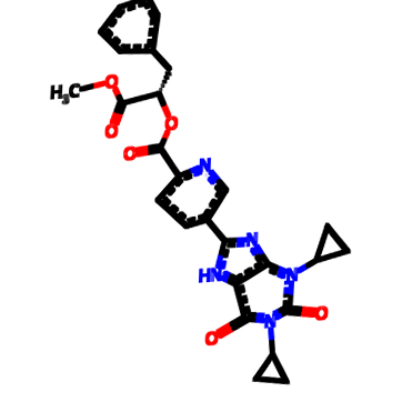 COC(=O)[C@H](Cc1ccccc1)OC(=O)c1ccc(-c2nc3c([nH]2)c(=O)n(C2CC2)c(=O)n3C2CC2)cn1